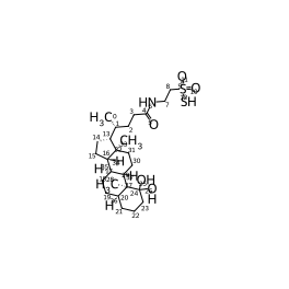 C[C@H](CCC(=O)NCCS(=O)(=O)S)[C@H]1CC[C@H]2[C@@H]3CC[C@@H]4CCCC(O)(O)[C@]4(C)[C@H]3CC[C@]12C